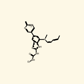 C=C(N)/N=C\C(=C/N)c1cc(N(C)/C=C\C=CC)c2[nH]c(NC(=O)NCC)nc2c1